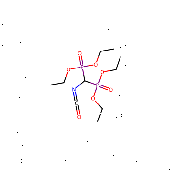 CCOP(=O)(OCC)C(N=C=O)P(=O)(OCC)OCC